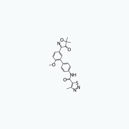 COc1ccc(C2=NOC(C)(C)C2=O)cc1-c1ccc(NC(=O)c2snnc2C)cc1